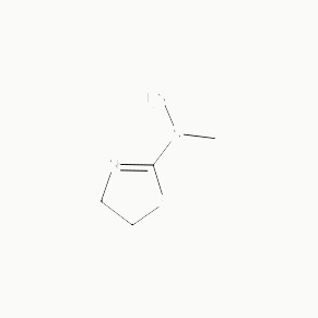 CN(N)C1=NCCS1